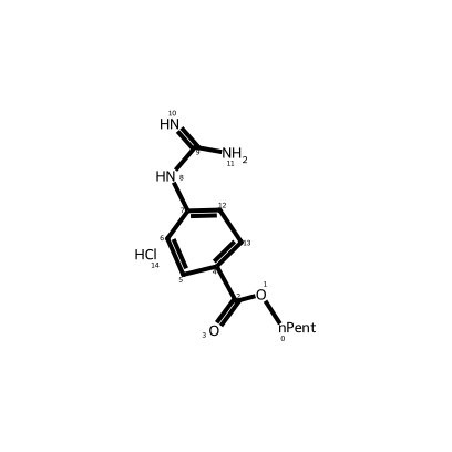 CCCCCOC(=O)c1ccc(NC(=N)N)cc1.Cl